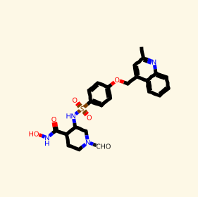 Cc1cc(COc2ccc(S(=O)(=O)NC3CN(C=O)CCC3C(=O)NO)cc2)c2ccccc2n1